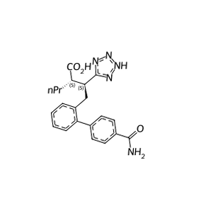 CCC[C@H](C(=O)O)[C@H](Cc1ccccc1-c1ccc(C(N)=O)cc1)c1nn[nH]n1